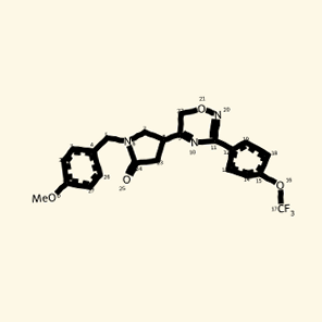 COc1ccc(CN2CC(C3=NC(c4ccc(OC(F)(F)F)cc4)=NOC3)CC2=O)cc1